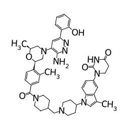 Cc1cc(C(=O)N2CCC(CN3CCC(n4cc(C)c5cc(N6CCC(=O)NC6=O)ccc54)CC3)CC2)ccc1[C@@H]1CN(c2cc(-c3ccccc3O)nnc2N)C[C@H](C)O1